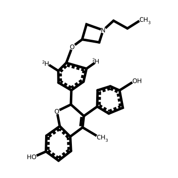 [2H]c1cc(C2Oc3cc(O)ccc3C(C)=C2c2ccc(O)cc2)cc([2H])c1OC1CN(CCC)C1